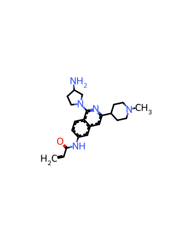 C=CC(=O)Nc1ccc2c(N3CCC(N)C3)nc(C3CCN(C)CC3)cc2c1